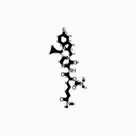 CN(C)C(=O)/C=C/CC[C@H](OC(=O)N(C)C)C(=O)Nc1nccn(Cc2cc3cc(F)ccc3n2CC2CC2)c1=O